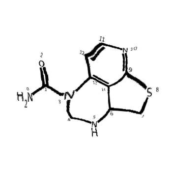 NC(=O)N1CNC2CSc3nccc1c32